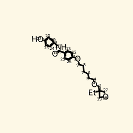 CCC1(COCCCCCCOc2ccc(C(=O)Nc3ccc(O)cc3)cc2)COC1